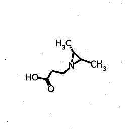 CC1C(C)N1CCC(=O)O